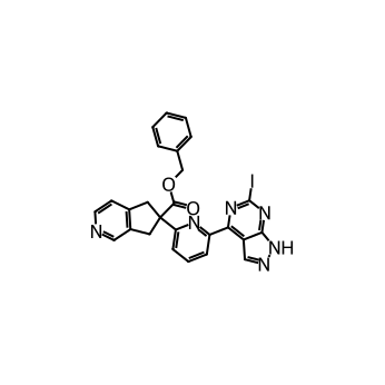 O=C(OCc1ccccc1)C1(c2cccc(-c3nc(I)nc4[nH]ncc34)n2)Cc2ccncc2C1